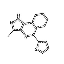 Cc1n[nH]c2c1nc(-c1cccs1)c1ccccc12